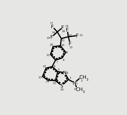 CN(C)c1nc2c(-c3ccc(C(C(F)(F)F)C(F)(F)F)cc3)cccc2s1